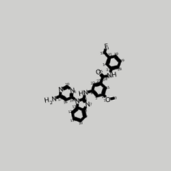 COc1cc(Nc2nc3ccccc3n2-c2cc(N)ncn2)cc(C(=O)Nc2cccc(CF)c2)c1